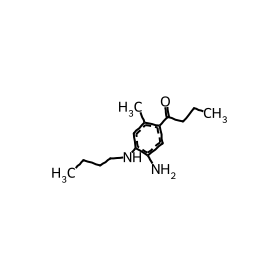 CCCCNc1cc(C)c(C(=O)CCC)cc1N